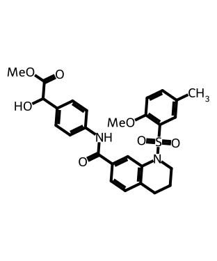 COC(=O)C(O)c1ccc(NC(=O)c2ccc3c(c2)N(S(=O)(=O)c2cc(C)ccc2OC)CCC3)cc1